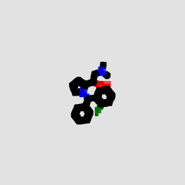 CN(C)CC(O)c1cccn1C(c1ccccc1)c1ccccc1F